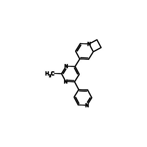 Cc1nc(C2=CC3CCN3C=C2)cc(-c2ccncc2)n1